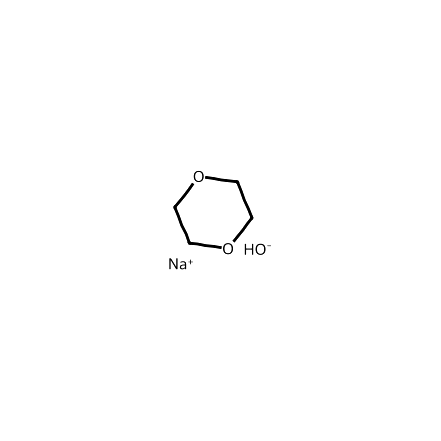 C1COCCO1.[Na+].[OH-]